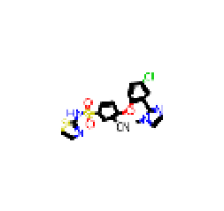 Cn1ccnc1-c1cc(Cl)ccc1Oc1ccc(S(=O)(=O)Nc2nccs2)cc1C#N